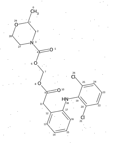 CC1CN(C(=O)OCOC(=O)Cc2ccccc2Nc2c(Cl)cccc2Cl)CCO1